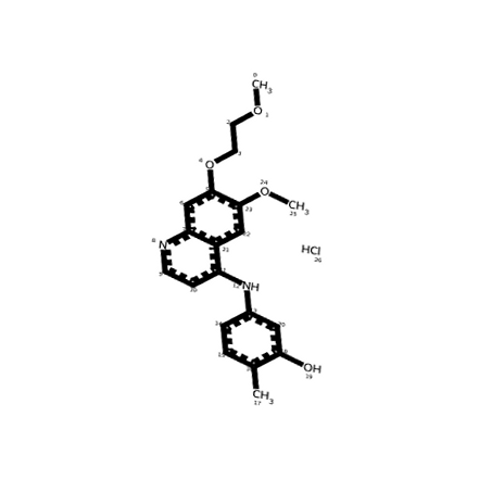 COCCOc1cc2nccc(Nc3ccc(C)c(O)c3)c2cc1OC.Cl